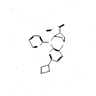 NC(=O)C1CN2C[C@@]1(C(N)=O)N(c1ccccn1)c1nc(C3CCC3)ccc12